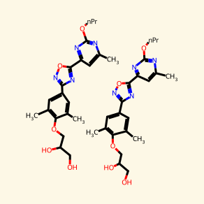 CCCOc1nc(C)cc(-c2nc(-c3cc(C)c(OCC(O)CO)c(C)c3)no2)n1.CCCOc1nc(C)cc(-c2nc(-c3cc(C)c(OCC(O)CO)c(C)c3)no2)n1